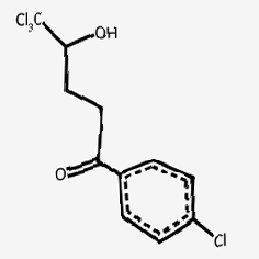 O=C(CCC(O)C(Cl)(Cl)Cl)c1ccc(Cl)cc1